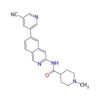 CN1CCC(C(=O)Nc2cc3cc(-c4cncc(C#N)c4)ccc3cn2)CC1